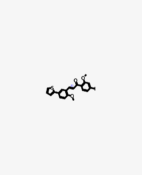 COc1ccc(-c2cccs2)cc1/C=C/C(=O)c1ccc(I)cc1OC